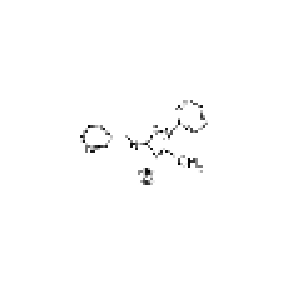 Br.Br.Cc1n/c(=N/Cc2cccnc2)sn1-c1ccccc1